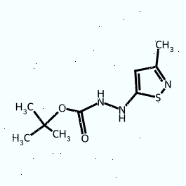 Cc1cc(NNC(=O)OC(C)(C)C)sn1